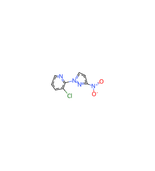 O=[N+]([O-])c1ccn(-c2ncccc2Cl)n1